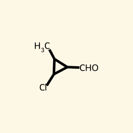 CC1C(Cl)C1C=O